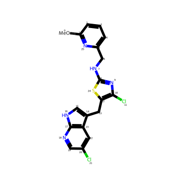 COc1cccc(CNc2nc(Cl)c(Cc3c[nH]c4ncc(Cl)cc34)s2)n1